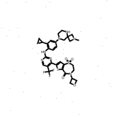 CN1CC2(C1)CN(c1ccc(Nc3ncc(C(F)(F)F)c(-c4cc5c(s4)C(=O)N(C4COC4)CCS5(=O)=O)n3)c(C3CC3)c1)CCN2